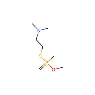 C=P(C)(OC)SCCN(C)C